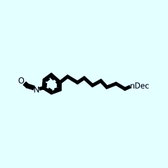 CCCCCCCCCCCCCCCCCCc1ccc(N=C=O)cc1